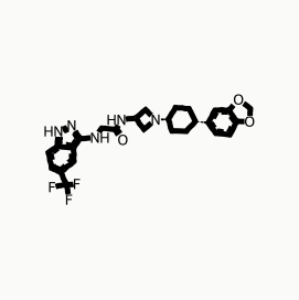 O=C(CNc1n[nH]c2ccc(C(F)(F)F)cc12)NC1CN([C@H]2CC[C@@H](c3ccc4c(c3)OCO4)CC2)C1